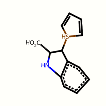 O=C(O)C1Nc2ccccc2C1[SH]1C=CC=C1